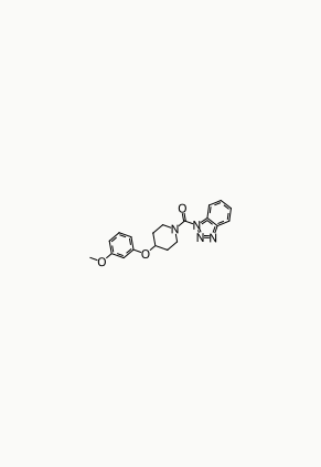 COc1cccc(OC2CCN(C(=O)n3nnc4ccccc43)CC2)c1